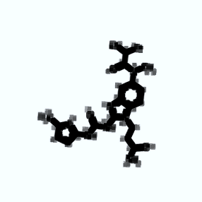 CCC(CC)C(=O)N(C)c1ccc2c(c1)nc(NC(=O)Nc1ccc(C)s1)n2CCC(N)=O